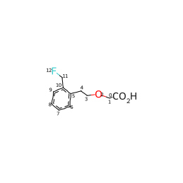 O=C(O)COCCc1ccccc1CF